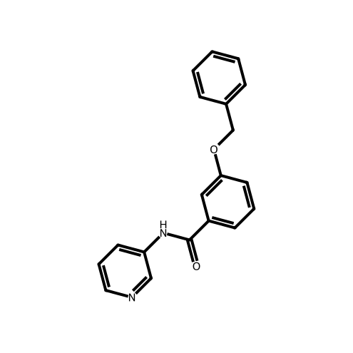 O=C(Nc1cccnc1)c1cccc(OCc2ccccc2)c1